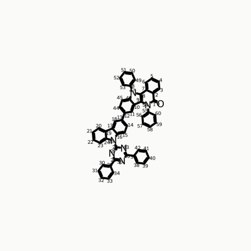 O=c1c2ccccc2c2c(c3cc(-c4ccc5c(c4)c4ccccc4n5-c4nc(-c5ccccc5)nc(-c5ccccc5)n4)ccc3n2-c2ccccc2)n1-c1ccccc1